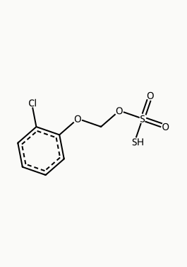 O=S(=O)(S)OCOc1ccccc1Cl